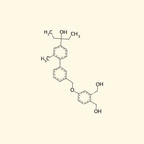 CCC(O)(CC)c1ccc(-c2cccc(COc3ccc(CO)c(CO)c3)c2)c(C)c1